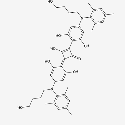 Cc1cc(C)c(N(CCCCO)c2cc(O)c(C3=C(O)C(=C4C(O)=CC(N(CCCCO)c5c(C)cc(C)cc5C)C=C4O)C3=O)c(O)c2)c(C)c1